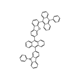 c1ccc(-c2c3ccccc3c(-c3cccc4c3oc3cc(-c5c6ccccc6c(-c6ccc7c8ccccc8n(-c8ccccc8)c7c6)c6ccccc56)ccc34)c3ccccc23)cc1